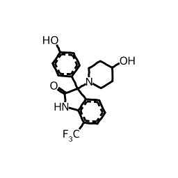 O=C1Nc2c(C(F)(F)F)cccc2C1(c1ccc(O)cc1)N1CCC(O)CC1